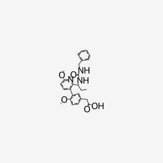 CCC(NC(=O)NCc1ccccc1)c1nc(OC)ccc1-c1cc(CC(=O)O)ccc1OC